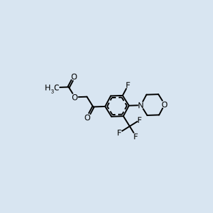 CC(=O)OCC(=O)c1cc(F)c(N2CCOCC2)c(C(F)(F)F)c1